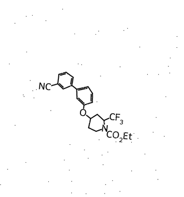 CCOC(=O)N1CCC(Oc2cccc(-c3cccc(C#N)c3)c2)CC1C(F)(F)F